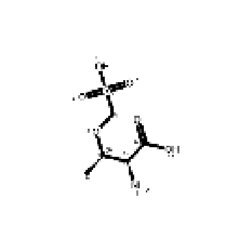 C[C@@H](OCS(=O)(=O)O)[C@H](N)C(=O)O